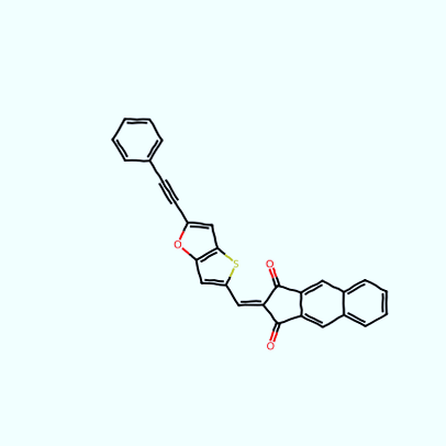 O=C1C(=Cc2cc3oc(C#Cc4ccccc4)cc3s2)C(=O)c2cc3ccccc3cc21